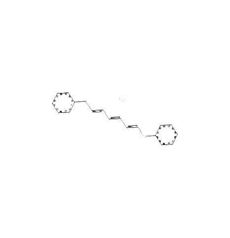 C(=CC=CNc1ccccc1)C=CCc1ccccc1.N